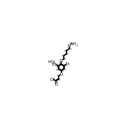 CCc1cc(OCC=C(Cl)Cl)cc(CC)c1OCCCCCON.Cl